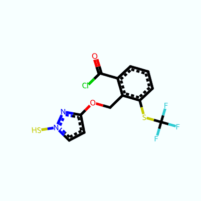 O=C(Cl)c1cccc(SC(F)(F)F)c1COc1ccn(S)n1